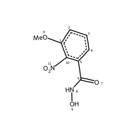 COc1cccc(C(=O)NO)c1[N+](=O)[O-]